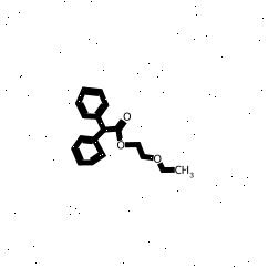 CCOCCOC(=O)C(c1ccccc1)c1ccccc1